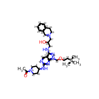 CC(=O)N1CCC(Nc2ncc3c(NCC(O)CN4CCc5ccccc5C4)nn(COCC[Si](C)(C)C)c3n2)CC1